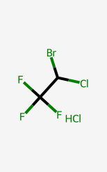 Cl.FC(F)(F)C(Cl)Br